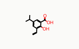 C=Cc1cc(C(C)C)cc(C(=O)O)c1O